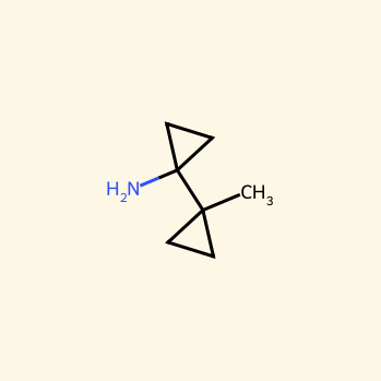 CC1(C2(N)CC2)CC1